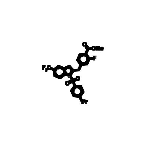 COC(=O)c1ccc(Cc2cc3cc(C(F)(F)F)ccc3n2S(=O)(=O)c2ccc(C(C)C)cc2)cc1F